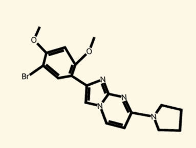 COc1cc(OC)c(-c2cn3ccc(N4CCCC4)nc3n2)cc1Br